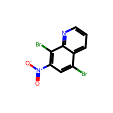 O=[N+]([O-])c1cc(Br)c2cccnc2c1Br